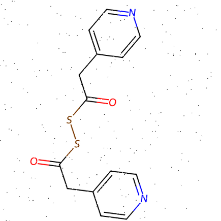 O=C(Cc1ccncc1)SSC(=O)Cc1ccncc1